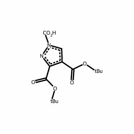 CC(C)(C)OC(=O)c1cn(C(=O)O)nc1C(=O)OC(C)(C)C